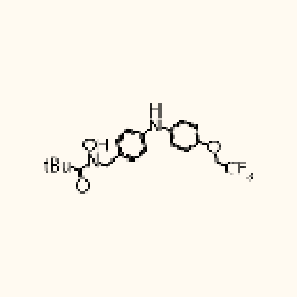 CC(C)(C)C(=O)N(O)Cc1ccc(Nc2ccc(OCC(F)(F)F)cc2)cc1